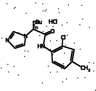 CCCC[C@@H](C(=O)Nc1ccc(C)cc1Cl)n1ccnc1.Cl